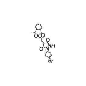 CC(=O)c1ccccc1-c1ccc(/C=C2\C(=O)NN(c3ccc(Br)cc3)C2=O)o1